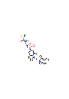 CCN(CCN(OC)C(=O)NC)c1c(F)cc(N2C[C@H](CNC(=O)C(F)F)OC2=O)cc1F